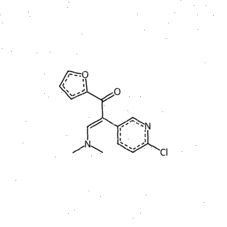 CN(C)/C=C(/C(=O)c1ccco1)c1ccc(Cl)nc1